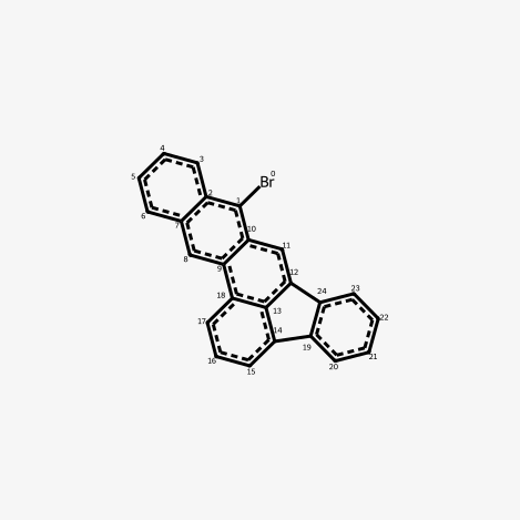 Brc1c2ccccc2cc2c1cc1c3c(cccc32)-c2ccccc2-1